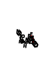 CN1CCN(C(=O)Cn2cc(Nc3nc4c(N5CC6CCCC(C5)N6C(=O)CC5CC(F)(F)C5)cccn4n3)cn2)CC1